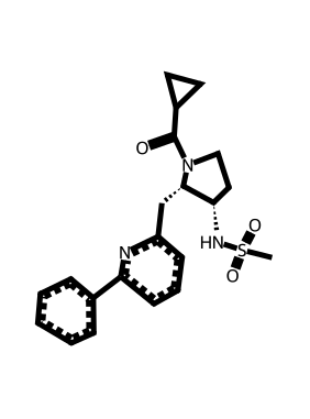 CS(=O)(=O)N[C@H]1CCN(C(=O)C2CC2)[C@H]1Cc1cccc(-c2ccccc2)n1